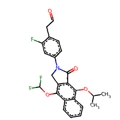 CC(C)Oc1c2c(c(OC(F)F)c3ccccc13)CN(c1ccc(CC=O)c(F)c1)C2=O